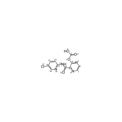 O=C(O)Oc1nccnc1C(=O)Nc1ccc(Cl)cn1